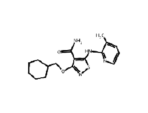 Cc1cccnc1Nc1snc(OCC2CCCCC2)c1C(N)=O